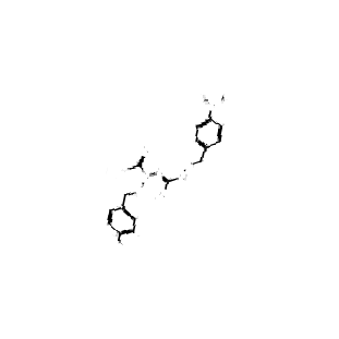 N=C(N)N(N=C(N)NOCc1ccc([N+](=O)[O-])cc1)OCc1ccc(Cl)cc1